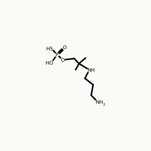 CC(C)(COP(=O)(O)S)NCCCN